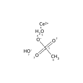 CS(=O)(=O)[O-].O.[Ce+2].[OH-]